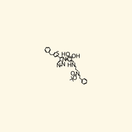 CC(C)(C)OC(=O)N(CCCNC[C@H]1C[C@@H](n2cc(-c3cc(Cc4ccccc4)cs3)c3cncnc32)[C@H](O)[C@@H]1O)CCc1ccccc1